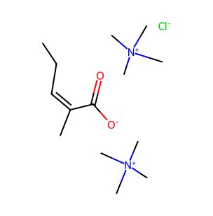 CCC=C(C)C(=O)[O-].C[N+](C)(C)C.C[N+](C)(C)C.[Cl-]